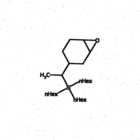 CCCCCC[Si](CCCCCC)(CCCCCC)C(C)C1CCC2OC2C1